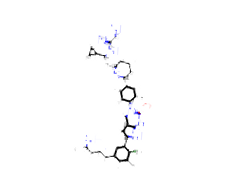 Cc1cc(CCC[C@H](C)N)cc(-c2cc3cn(-c4ccc([C@@H]5CCC[C@@H](C[C@H](NC(=N)CN)C6CC6)N5)cc4)c(=O)nc3[nH]2)c1F